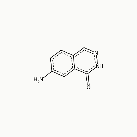 Nc1ccc2cn[nH]c(=O)c2c1